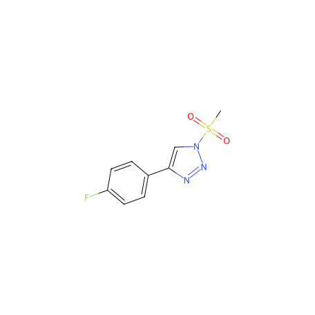 CS(=O)(=O)n1cc(-c2ccc(F)cc2)nn1